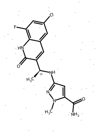 C[C@H](Nc1cc(C(N)=O)n(C)n1)c1cc2cc(Cl)cc(F)c2[nH]c1=O